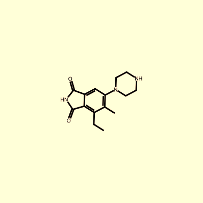 CCc1c(C)c(N2CCNCC2)cc2c1C(=O)NC2=O